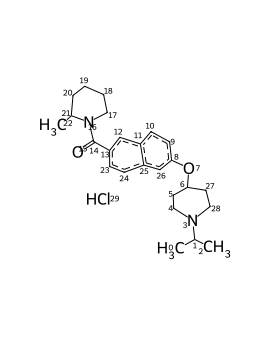 CC(C)N1CCC(Oc2ccc3cc(C(=O)N4CCCCC4C)ccc3c2)CC1.Cl